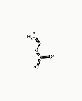 C=CN=S(=O)=O